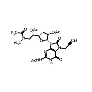 C#CCn1c(=O)n([C@@H]2O[C@H]([C@H](CN(C)C(=O)C(F)(F)F)OC(C)=O)C[C@H]2OC(C)=O)c2nc(NC(C)=O)[nH]c(=O)c21